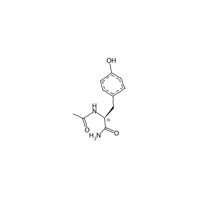 CC(=O)N[C@@H](Cc1ccc(O)cc1)C(N)=O